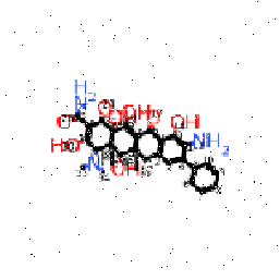 C[C@H]1c2cc(-c3ccccc3)c(N)c(O)c2C(=O)C2=C(O)[C@]3(O)C(=O)C(C(N)=O)=C(O)[C@@H](N(C)C)[C@@H]3[C@@H](O)[C@@H]21